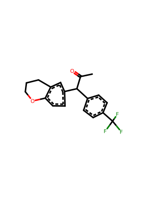 CC(=O)C(c1ccc(C(F)(F)F)cc1)c1ccc2c(c1)CCCO2